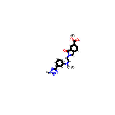 CC(C)OC(=O)c1ccc2c(c1)C(=O)N(CCN(C=O)c1cccc(-c3nnn(C)n3)c1)C2